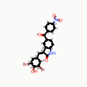 O=C1Nc2ccc(C(=O)c3ccc([N+](=O)[O-])cc3)cc2/C1=C/c1cc(Br)c(O)c(Br)c1